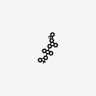 CC1(C)c2ccccc2-c2cc(-c3c4ccccc4c(-c4ccc5c(c4)c4ccccc4c4cc6c(cc54)oc4ccccc46)c4ccccc34)ccc21